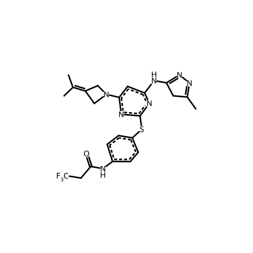 CC1=NN=C(Nc2cc(N3CC(=C(C)C)C3)nc(Sc3ccc(NC(=O)CC(F)(F)F)cc3)n2)C1